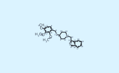 COc1ccc(CSC2CCN(Cc3scc4ccccc34)CC2)c(OC)c1OC